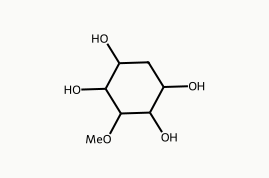 COC1C(O)C(O)CC(O)C1O